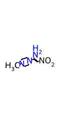 CN1CCN(C(N)=C[N+](=O)[O-])CC1